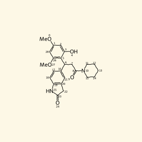 COc1cc(O)c(C(CC(=O)N2CCCCC2)c2ccc3c(c2)CC(=O)N3)c(OC)c1